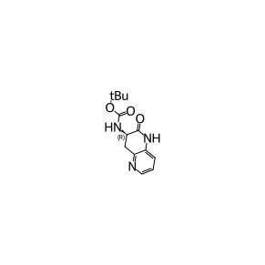 CC(C)(C)OC(=O)N[C@@H]1Cc2ncccc2NC1=O